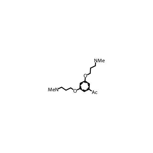 CNCCCOc1cc(OCCCNC)cc(C(C)=O)c1